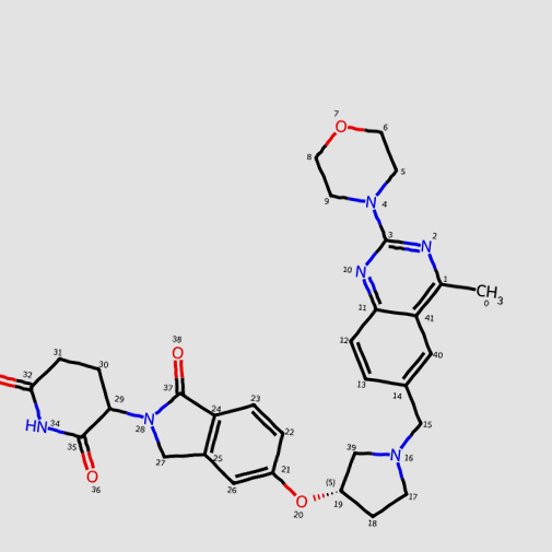 Cc1nc(N2CCOCC2)nc2ccc(CN3CC[C@H](Oc4ccc5c(c4)CN(C4CCC(=O)NC4=O)C5=O)C3)cc12